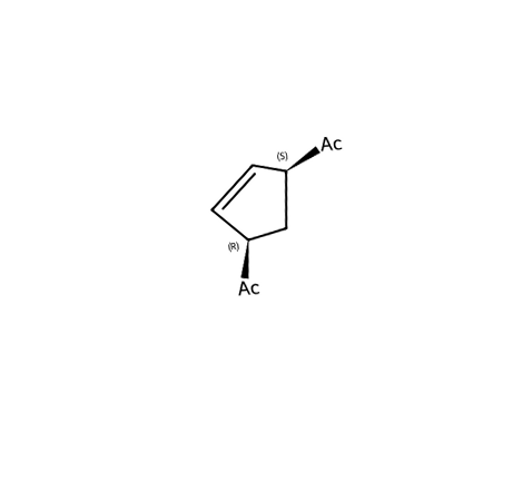 CC(=O)[C@@H]1C=C[C@H](C(C)=O)C1